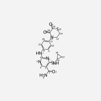 NC(=O)c1cnc(Nc2ccc(N3CCSC(=O)C3=O)cc2)nc1NC1CC1